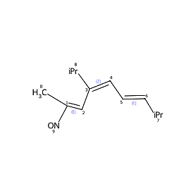 C\C(=C/C(=C\C=C\C(C)C)C(C)C)N=O